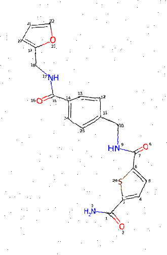 NC(=O)c1ccc(C(=O)NCc2ccc(C(=O)NCc3ccco3)cc2)s1